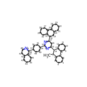 CC1c2ccccc2-c2ccccc2C1c1cc(-c2cc3ccccc3c3ccccc23)nc(-c2ccc(-c3nccc4ccccc34)cc2)n1